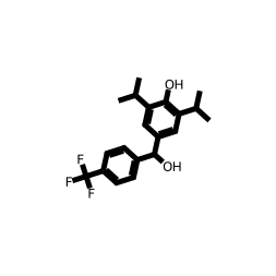 CC(C)c1cc(C(O)c2ccc(C(F)(F)F)cc2)cc(C(C)C)c1O